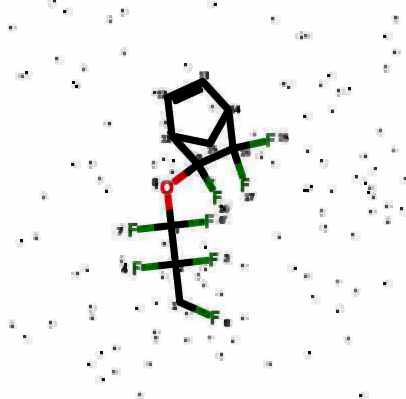 FCC(F)(F)C(F)(F)OC1(F)C2C=CC(C2)C1(F)F